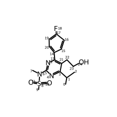 CC(C)c1nc(N(C)S(C)(=O)=O)nc(-c2ccc(F)cc2)c1CCO